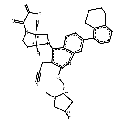 C=C(F)C(=O)N1CC[C@@H]2[C@H]1CN2c1c(CC#N)c(OC[C@@H]2C[C@@H](F)CN2C)nc2cc(-c3cccc4c3CCCC4)ccc12